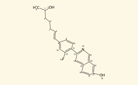 CC(O)CCCC=Cc1ccc(-c2cc3ccc(O)cc3cn2)c(F)c1